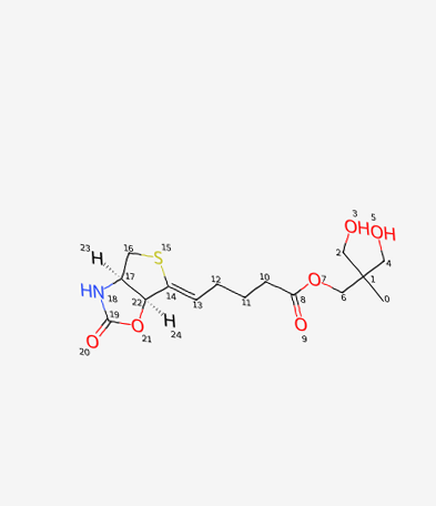 CC(CO)(CO)COC(=O)CCC/C=C1\SC[C@@H]2NC(=O)O[C@H]12